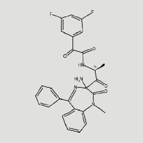 C[C@H](NC(=O)C(=O)c1cc(F)cc(F)c1)C(=O)C1(N)N=C(c2ccccc2)c2ccccc2N(C)C1=O